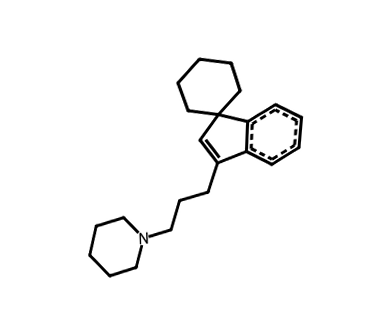 C1=C(CCCN2CCCCC2)c2ccccc2C12CCCCC2